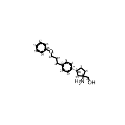 N[C@]1(CO)CC[C@@H](c2ccc(CCCOc3ccccc3)cc2)C1